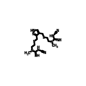 CN(CCSCc1c[nH]nc1CSCCN(C)C(=N)NC#N)C(=N)NC#N